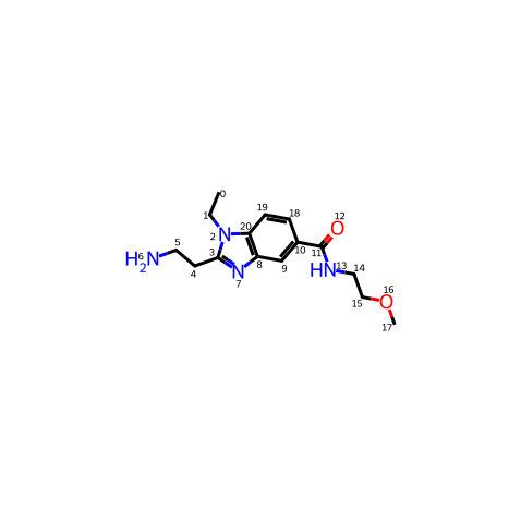 CCn1c(CCN)nc2cc(C(=O)NCCOC)ccc21